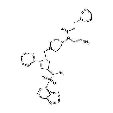 CCCN(C(=O)OCc1ccccc1)C1CCN(CC2CC(N(C)S(=O)(=O)c3cccc4ccccc34)CC2c2ccccc2)CC1